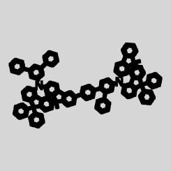 CC1(C)c2ccccc2-c2ccc(N(c3ccc(-c4ccc(-c5ccc6c(c5)-c5ccc(N(c7cc(-c8ccccc8)cc(-c8ccccc8)c7)c7cccc8c7-c7ccccc7C8(c7ccccc7)c7ccccc7)cc5C6(C)C)cc4)c(-c4ccccc4)c3)c3cccc4c3-c3ccccc3C4(c3ccccc3)c3ccccc3)cc21